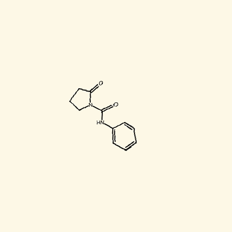 O=C1CCCN1C(=O)Nc1ccccc1